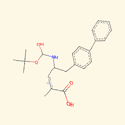 C/C(=C/C(Cc1ccc(-c2ccccc2)cc1)NC(O)OC(C)(C)C)C(=O)O